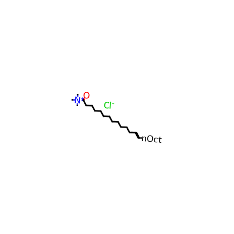 CCCCCCCCC=CCCCCCCCCCCCC(=O)[N+](C)(C)C.[Cl-]